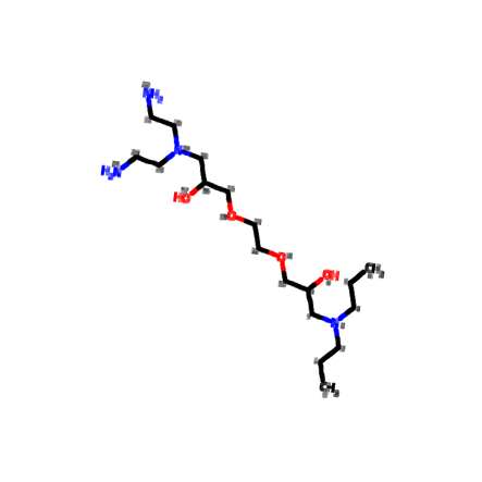 CCCN(CCC)CC(O)COCCOCC(O)CN(CCN)CCN